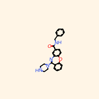 O=C(NCc1ccccc1)c1ccc2c(c1)N=C(N1CCNCC1)c1ccccc1O2